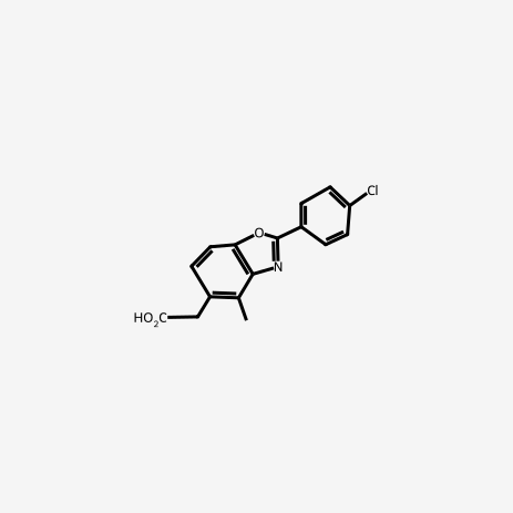 Cc1c(CC(=O)O)ccc2oc(-c3ccc(Cl)cc3)nc12